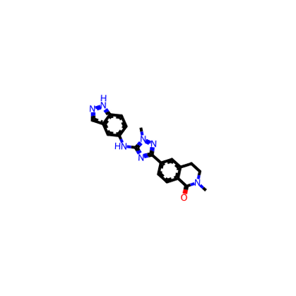 CN1CCc2cc(-c3nc(Nc4ccc5[nH]ncc5c4)n(C)n3)ccc2C1=O